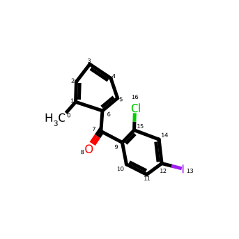 Cc1ccccc1C(=O)c1ccc(I)cc1Cl